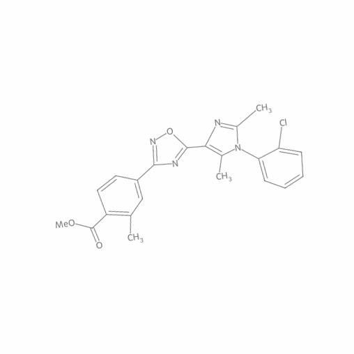 COC(=O)c1ccc(-c2noc(-c3nc(C)n(-c4ccccc4Cl)c3C)n2)cc1C